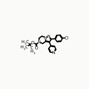 CC(C)(C)OC(=O)N1CCn2nc(-c3ccc(Cl)cc3)c(-c3ccncc3)c2C1